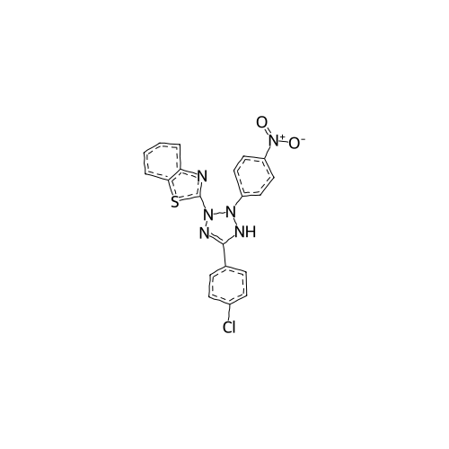 O=[N+]([O-])c1ccc(N2NC(c3ccc(Cl)cc3)=NN2c2nc3ccccc3s2)cc1